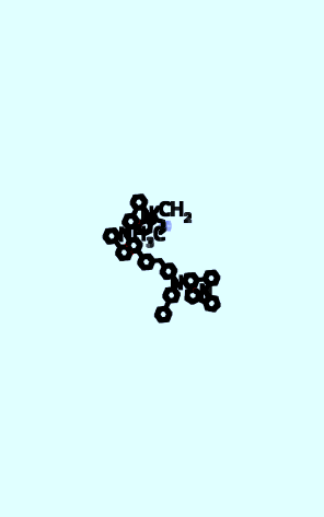 C=Cc1c(/C=C\C)c2ccccc2n1-c1ccccc1-c1ccc(N(c2ccc(-c3cccc(Cc4ccc(N(c5ccc(-c6ccccc6)cc5)c5ccc(-c6ccccc6-n6c7ccccc7c7ccccc76)cc5)cc4)c3)cc2)c2ccccc2-c2ccccc2)cc1